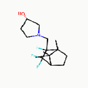 CC1(C)C2CCC1(C)C(F)(CN1CC[C@H](O)C1)C2(F)F